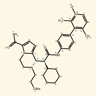 COCCN1CCn2c(C(N)=O)ccc2[C@@H]1[C@@H](C(=O)Nc1ccc(-c2c(C)cc[n+]([O-])c2C)cc1)C1CCCCC1